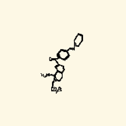 CCOC(=O)CN1CCc2ccc(C(=O)c3ccc(C=NN4CCCCC4)cc3)cc2C1N